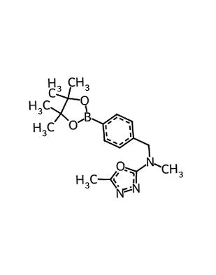 Cc1nnc(N(C)Cc2ccc(B3OC(C)(C)C(C)(C)O3)cc2)o1